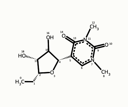 CC[C@H]1O[C@@H](c2cn(C)c(=O)n(C)c2=O)C(O)[C@H]1O